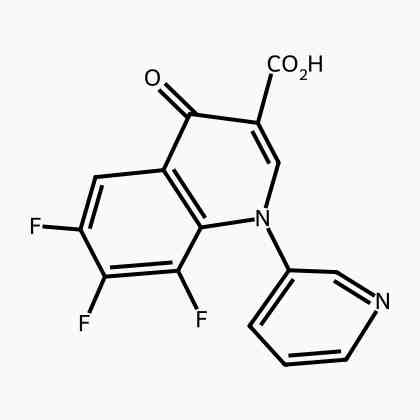 O=C(O)c1cn(-c2cccnc2)c2c(F)c(F)c(F)cc2c1=O